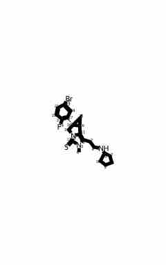 Cn1c(CCNC2CCCC2)c2n(c1=S)C[C@@]1(c3cc(Br)ccc3F)CC21